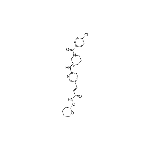 O=C(C=Cc1ccc(N[C@@H]2CCCN(C(=O)c3ccc(Cl)cc3)C2)nc1)NOC1CCCCO1